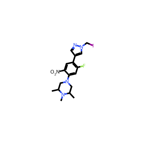 CC1CN(c2cc(F)c(-c3cnn(CI)c3)cc2[N+](=O)[O-])CC(C)N1C